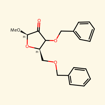 CO[C@@H]1O[C@H](COCc2ccccc2)C(OCc2ccccc2)C1=O